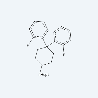 CCCCCCCC1CCC(c2ccccc2F)(c2ccccc2F)CC1